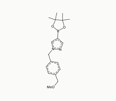 COCc1ccc(Cn2cc(B3OC(C)(C)C(C)(C)O3)cn2)cc1